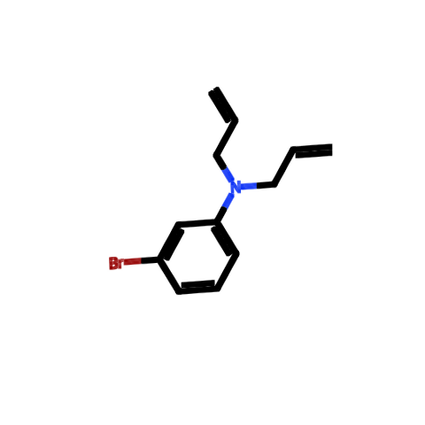 C=CCN(CC=C)c1cccc(Br)c1